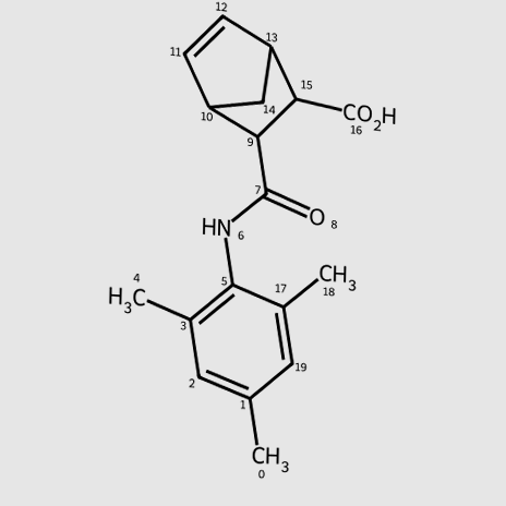 Cc1cc(C)c(NC(=O)C2C3C=CC(C3)C2C(=O)O)c(C)c1